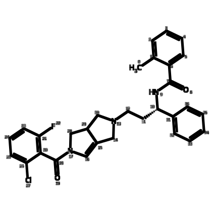 Cc1ccccc1C(=O)N[C@@H](CCN1CC2=CN(C(=O)c3c(F)cccc3Cl)CC2C1)c1ccccc1